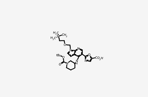 CC(C)(C)OC(=O)N1CCCC(Nc2c(-c3ncc(C(=O)O)o3)cnc3c2ccn3COCC[Si](C)(C)C)C1